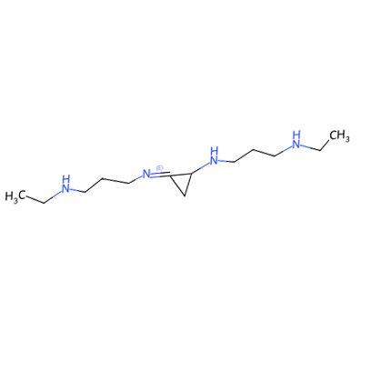 CCNCCC/N=C1\CC1NCCCNCC